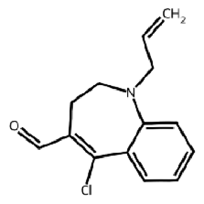 C=CCN1CCC(C=O)=C(Cl)c2ccccc21